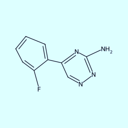 Nc1nncc(-c2ccccc2F)n1